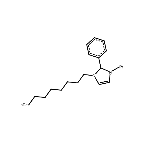 CCCCCCCCCCCCCCCCCN1C=CN(C(C)C)C1c1ccccc1